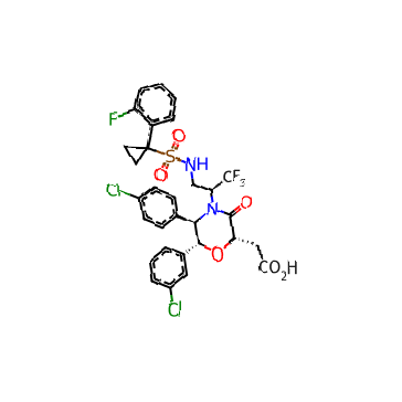 O=C(O)C[C@@H]1O[C@H](c2cccc(Cl)c2)[C@@H](c2ccc(Cl)cc2)N([C@@H](CNS(=O)(=O)C2(c3ccccc3F)CC2)C(F)(F)F)C1=O